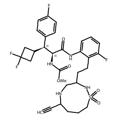 C#CC1CCCS(=O)(=O)NC(CCc2c(F)cccc2NC(=O)[C@@H](NC(=O)OC)[C@H](c2ccc(F)cc2)C2CC(F)(F)C2)CN1